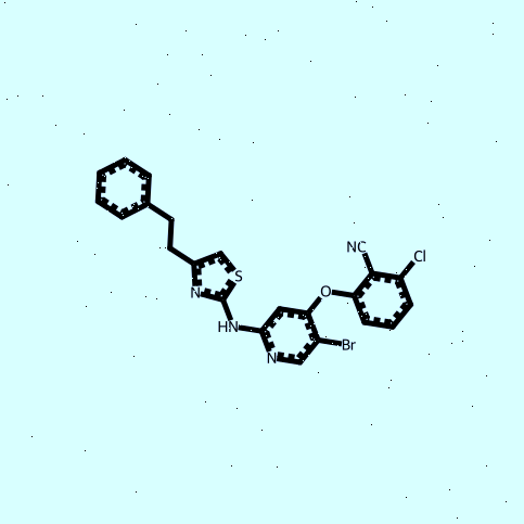 N#Cc1c(Cl)cccc1Oc1cc(Nc2nc(CCc3ccccc3)cs2)ncc1Br